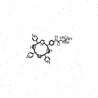 CNC(CCC(=O)Nc1ccc(-c2c3nc(c(C4=CCN(C)C=C4)c4ccc([nH]4)c(C4=CCN(C)C=C4)c4nc(c(C5=CCN(C)C=C5)c5ccc2[nH]5)C=C4)C=C3)cc1)(NC)NC